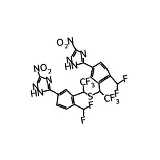 O=[N+]([O-])c1n[nH]c(-c2ccc(C(F)F)c(C(SC(c3cc(-c4nc([N+](=O)[O-])n[nH]4)ccc3C(F)F)C(F)(F)F)C(F)(F)F)c2)n1